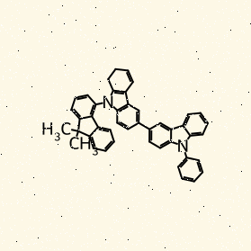 CC1(C)c2ccccc2-c2c(-n3c4c(c5cc(-c6ccc7c(c6)c6ccccc6n7-c6ccccc6)ccc53)C=CCC4)cccc21